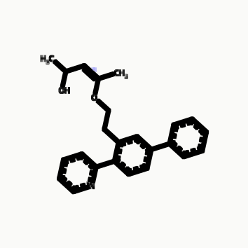 C/C(=C/C(C)O)OCCc1cc(-c2ccccc2)ccc1-c1ccccn1